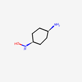 N[C@H]1CC[C@@H](NO)CC1